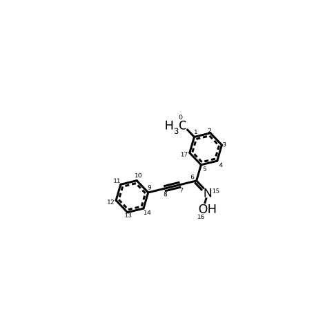 Cc1cccc(/C(C#Cc2ccccc2)=N/O)c1